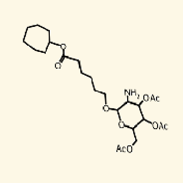 CC(=O)OCC1OC(OCCCCCC(=O)OC2CCCCCC2)C(N)C(OC(C)=O)C1OC(C)=O